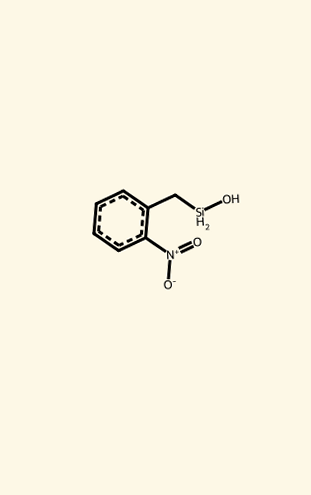 O=[N+]([O-])c1ccccc1C[SiH2]O